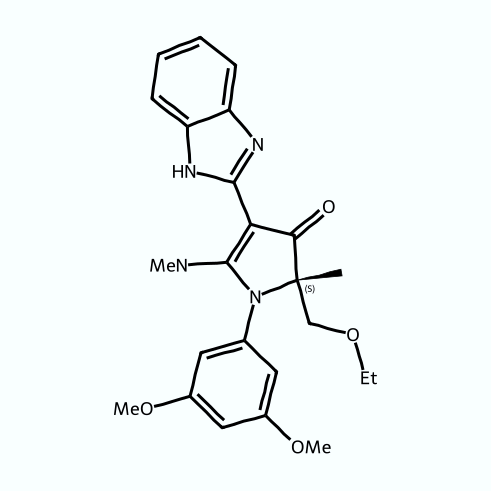 CCOC[C@@]1(C)C(=O)C(c2nc3ccccc3[nH]2)=C(NC)N1c1cc(OC)cc(OC)c1